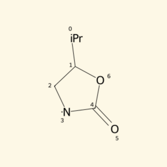 CC(C)C1C[N]C(=O)O1